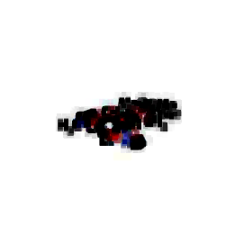 CC[C@H]1CCC[C@H](O[C@H]2CCCC(C)(CN(C)C)O2)[C@@H](C)C(=O)C2=C[C@H]3[C@@H]4C[C@H](O[C@@H]5OC(C)[C@H](OC)C(OC)C5OC)C[C@H]4C[C@H](Nc4nc5ccccc5o4)[C@H]3[C@@H]2CC(=O)O1